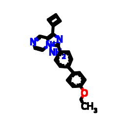 CCOc1ccc(-c2ccc(C3=NC(C4=CC=C4)=C4C=NC=C[N+]34N)cc2)cc1